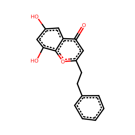 O=c1cc(CCc2ccccc2)oc2c(O)cc(O)cc12